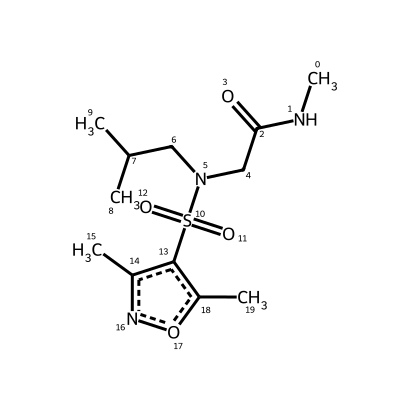 CNC(=O)CN(CC(C)C)S(=O)(=O)c1c(C)noc1C